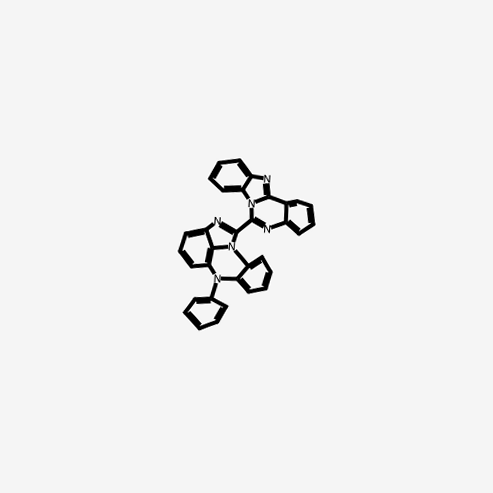 c1ccc(N2c3ccccc3-n3c(-c4nc5ccccc5c5nc6ccccc6n45)nc4cccc2c43)cc1